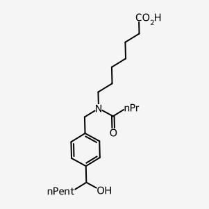 CCCCCC(O)c1ccc(CN(CCCCCCC(=O)O)C(=O)CCC)cc1